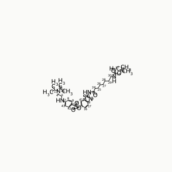 CC(C)N(CCNc1ccc(S(=O)(=O)Oc2ccc3nc(NC(=O)CCCCCCCNC(=O)OC(C)(C)C)sc3c2)cc1)C(C)C